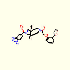 O=C(COc1ccccc1C1CCCO1)N1C[C@@H]2CN(C(=O)c3ccc4[nH]nnc4c3)C[C@H]2C1